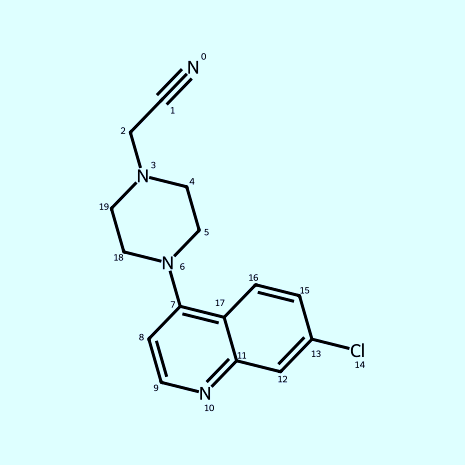 N#CCN1CCN(c2ccnc3cc(Cl)ccc23)CC1